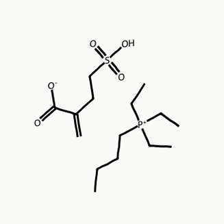 C=C(CCS(=O)(=O)O)C(=O)[O-].CCCC[P+](CC)(CC)CC